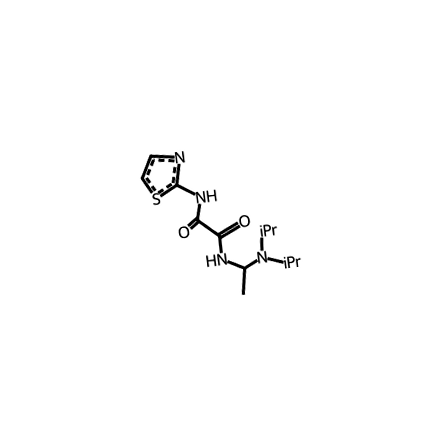 CC(C)N(C(C)C)C(C)NC(=O)C(=O)Nc1nccs1